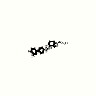 CCOC(=O)Cn1ncc2c1CCCC2NS(=O)(=O)c1ccc(-c2ccc(F)c(Cl)c2)cc1